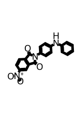 O=C1c2ccc([N+](=O)[O-])cc2C(=O)N1c1ccc(Nc2ccccc2)cc1